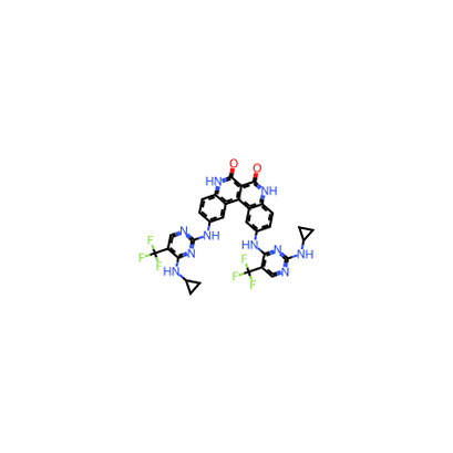 O=c1[nH]c2ccc(Nc3ncc(C(F)(F)F)c(NC4CC4)n3)cc2c2c1c(=O)[nH]c1ccc(Nc3nc(NC4CC4)ncc3C(F)(F)F)cc12